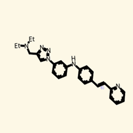 CCN(CC)Cc1cn(-c2cccc(Nc3ccc(/C=C/c4ccccn4)cc3)c2)nn1